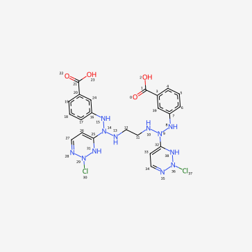 O=C(O)c1cccc(NN(NCCNN(Nc2cccc(C(=O)O)c2)C2=CC=NN(Cl)N2)C2=CC=NN(Cl)N2)c1